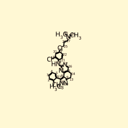 Cc1ccccc1-c1c2c(nn1C)CCc1cnc(Nc3ccc(OCCCN(C)C)cc3Cl)nc1-2